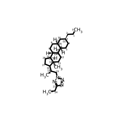 CCC[C@H]1CC[C@H]2[C@H](CC[C@@H]3[C@@H]2CC[C@]2(C)C([C@H](C)Cn4nnc(CC)n4)CC[C@@H]32)C1